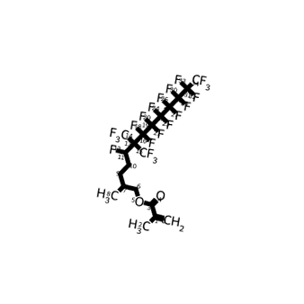 C=C(C)C(=O)OCC(C)CCC(F)C(C(F)(F)F)(C(F)(F)F)C(F)(F)C(F)(F)C(F)(F)C(F)(F)C(F)(F)C(F)(F)C(F)(F)F